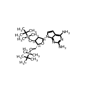 CC(C)(C)[Si](C)(C)OC[C@H]1O[C@@H](n2ccc3c(N)nc(N)nc32)C[C@@H]1O[Si](C)(C)C(C)(C)C